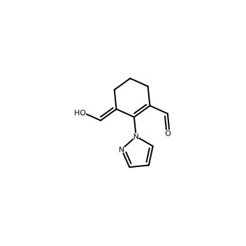 O=CC1=C(n2cccn2)C(=CO)CCC1